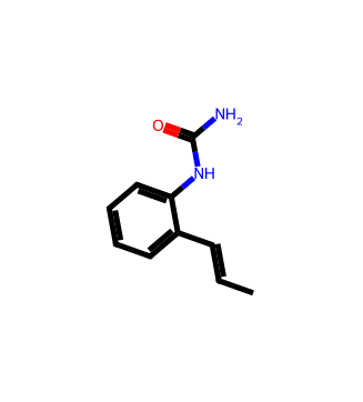 C/C=C/c1ccccc1NC(N)=O